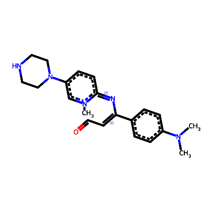 CN(C)c1ccc(C(=C/C=O)/N=c2/ccc(N3CCNCC3)cn2C)cc1